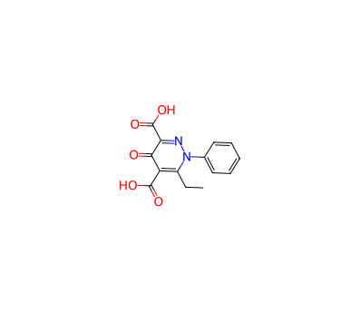 CCc1c(C(=O)O)c(=O)c(C(=O)O)nn1-c1ccccc1